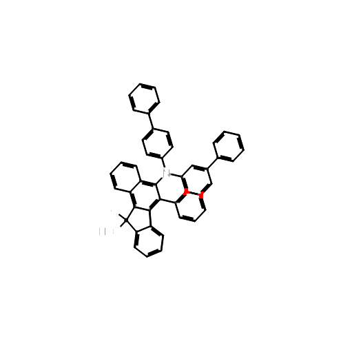 CC1(C)c2ccccc2-c2c(-c3ccccc3)c(N(c3ccc(-c4ccccc4)cc3)c3cccc(-c4ccccc4)c3)c3ccccc3c21